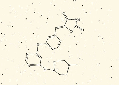 CN1CCC(Oc2cc(Oc3cccc(/C=C4\SC(=O)NC4=O)c3)ncn2)CC1